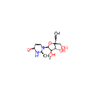 C#CC1(CO)OC(N2C=CC(=O)NC2=C)C(O)C1O